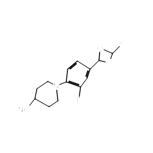 CC1OC(c2ccc(N3CCC(C#N)CC3)c(F)c2)O1